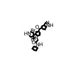 O=C(CN1C(=O)C2(CCNCC2)c2c1ccc(C(=O)c1ccc3[nH]ncc3c1)c2Br)Nc1ccccc1